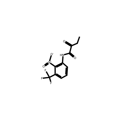 CCC(=O)C(=O)Nc1cccc(C(F)(F)F)c1[N+](=O)[O-]